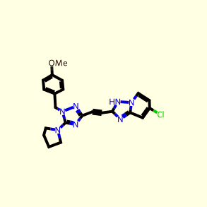 COc1ccc(Cn2nc(C#CC3N=C4C=C(Cl)C=CN4N3)nc2N2CCCC2)cc1